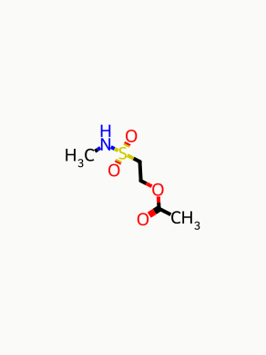 CNS(=O)(=O)CCOC(C)=O